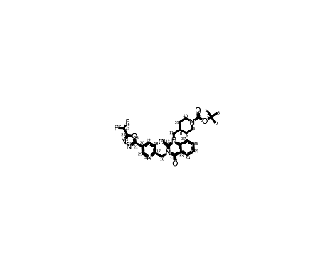 CC(C)(C)OC(=O)N1CCC(Cn2c(=O)n(Cc3ccc(-c4nnc(C(F)F)o4)cn3)c(=O)c3ccccc32)CC1